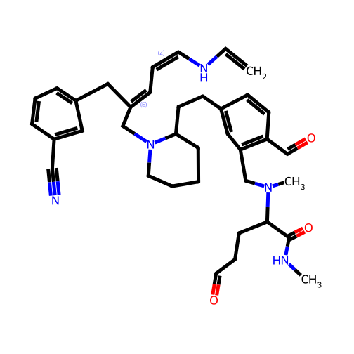 C=CN/C=C\C=C(/Cc1cccc(C#N)c1)CN1CCCCC1CCc1ccc(C=O)c(CN(C)C(CCC=O)C(=O)NC)c1